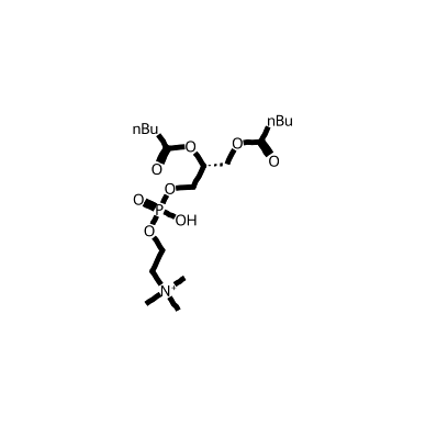 CCCCC(=O)OC[C@H](COP(=O)(O)OCC[N+](C)(C)C)OC(=O)CCCC